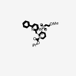 COCCS(=O)(=O)N[C@@H]1CCCN(C(=O)OC(C)C)[C@@H]1Cc1cccc(-c2ccccc2)n1